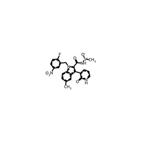 Cc1ccc2c(c1)c(-c1ccc[nH]c1=O)c(C(=O)N[S+](C)[O-])n2Cc1cc([N+](=O)[O-])ccc1F